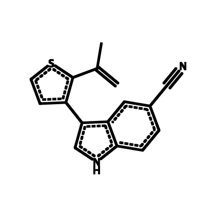 C=C(C)c1sccc1-c1c[nH]c2ccc(C#N)cc12